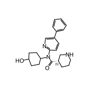 O=C([C@H]1CCCNC1)N(c1ccc(-c2ccccc2)cn1)C1CCC(O)CC1